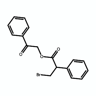 O=C(COC(=O)C(CBr)c1ccccc1)c1ccccc1